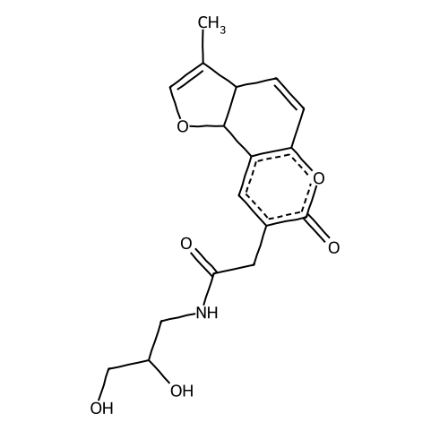 CC1=COC2c3cc(CC(=O)NCC(O)CO)c(=O)oc3C=CC12